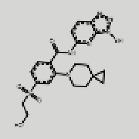 CCCn1nnc2ccc(NC(=O)c3ccc(S(=O)(=O)CCO)cc3N3CCC4(CC3)CC4)nc21